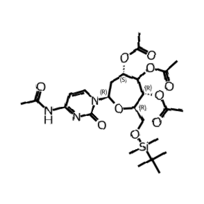 CC(=O)Nc1ccn([C@H]2C[C@H](OC(C)=O)C(OC(C)=O)[C@H](OC(C)=O)[C@@H](CO[Si](C)(C)C(C)(C)C)O2)c(=O)n1